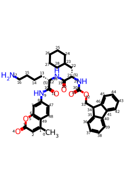 Cc1cc(=O)oc2cc(NC(=O)[C@H](CCCCN)NC(=O)[C@H](CC3CCCCC3)NC(=O)OCC3c4ccccc4-c4ccccc43)ccc12